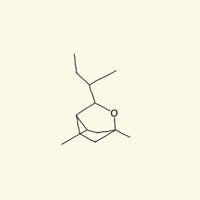 CCC(C)C1OC2(C)CCC1C(C)C2